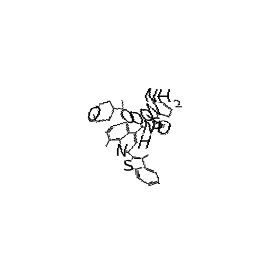 Cc1c(-c2cc(C(=O)NS(=O)(=O)c3cccc(N)n3)c3c(O[C@H](C)C4CCOCC4)ccc(C)c3n2)sc2ccccc12